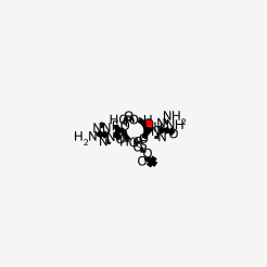 CC(C)(C)C(=O)OCSP1(=O)OC[C@H]2O[C@@H](n3cnc4c(N)ncnc43)C(F)C2OP(=O)(O)OC[C@H]2O[C@@H](n3cnc4c(=O)[nH]c(N)nc43)C(O1)C2O